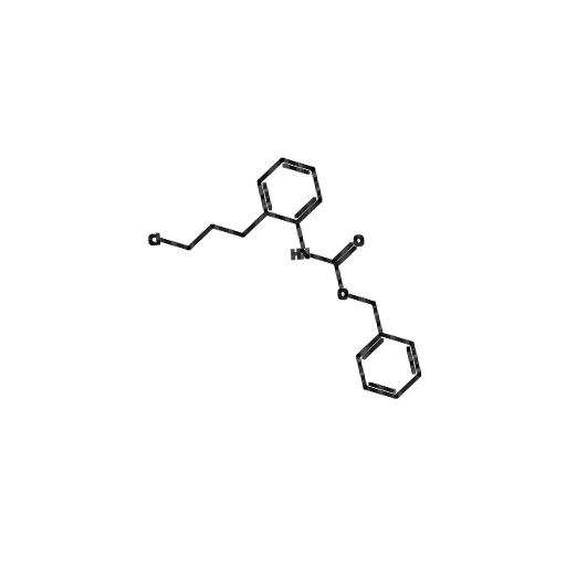 O=C(Nc1ccccc1CCCCl)OCc1ccccc1